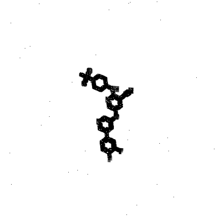 CS(=O)(=O)N1CCC(Nc2ncc(Oc3cncc(-c4ccc(F)c(F)c4)c3)cc2C#N)CC1